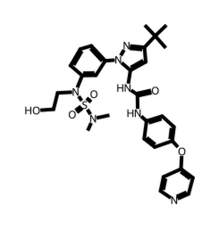 CN(C)S(=O)(=O)N(CCO)c1cccc(-n2nc(C(C)(C)C)cc2NC(=O)Nc2ccc(Oc3ccncc3)cc2)c1